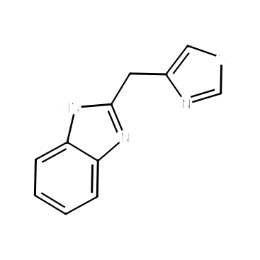 c1ccc2[nH]c(Cc3cscn3)nc2c1